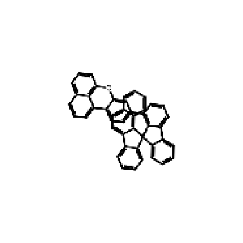 c1ccc2c(c1)-c1cccc(-c3ccc4c(c3)Oc3cccc5cccc-4c35)c1C21c2ccccc2-c2ccc3ccccc3c21